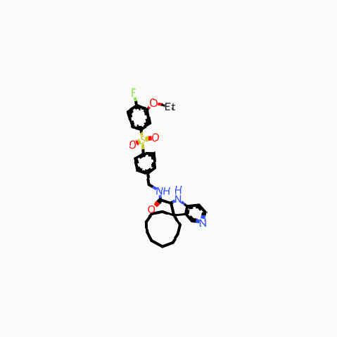 CCOc1cc(S(=O)(=O)c2ccc(CNC(=O)C3Nc4ccncc4C34CCCCCCCCC4)cc2)ccc1F